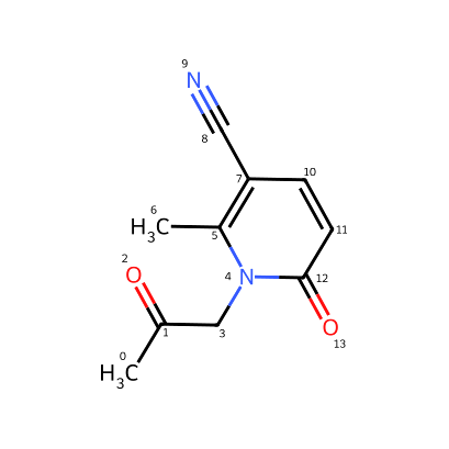 CC(=O)Cn1c(C)c(C#N)ccc1=O